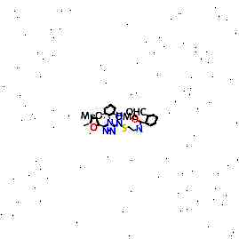 COc1cccc(OC)c1-n1c(NSCCN(C)C(=O)c2ccccc2C=O)nnc1-c1ccc(C)o1